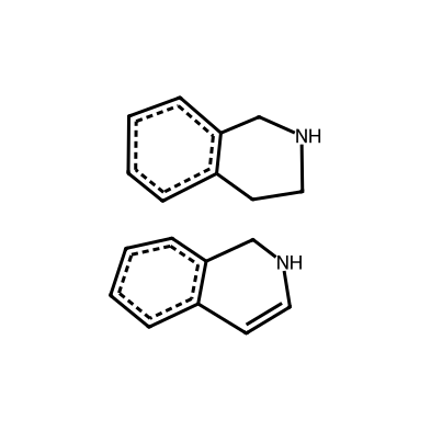 C1=Cc2ccccc2CN1.c1ccc2c(c1)CCNC2